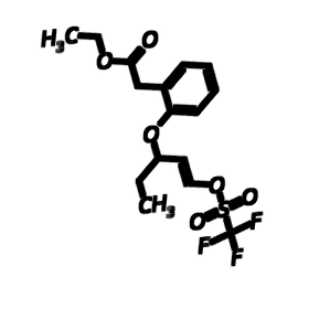 CCOC(=O)Cc1ccccc1OC(/C=C/OS(=O)(=O)C(F)(F)F)CC